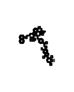 Cc1nn(C)c(C)c1-c1c(Cl)ccc2c(CCCOc3cccc4ccccc34)c(C(=O)OC(C)(C)C)n(CCN3CCN(C(=O)COc4cc5c(cc4F)C(=O)N(C4CCC(=O)NC4=O)C5)CC3)c12